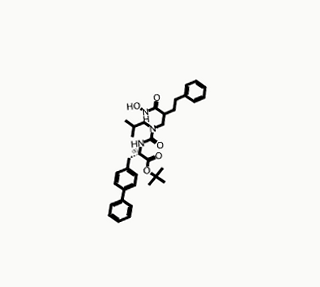 CC(C)CN(CC(CCc1ccccc1)C(=O)NO)C(=O)N[C@@H](Cc1ccc(-c2ccccc2)cc1)C(=O)OC(C)(C)C